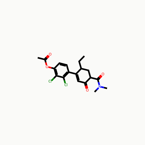 CCC1CC(C(=O)N(C)C)C(=O)C=C1c1ccc(OC(C)=O)c(Cl)c1Cl